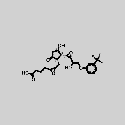 O=C(O)CCCC1OC1C[C@H]1C(=O)C[C@@H](O)[C@@H]1[C@H]1OC1C(O)COc1cccc(C(F)(F)F)c1